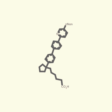 CCCCCCCCCc1ccc(-c2ccc(-c3ccc(C4(CCCCCC(=O)O)CCCC4)cc3)cc2)nc1